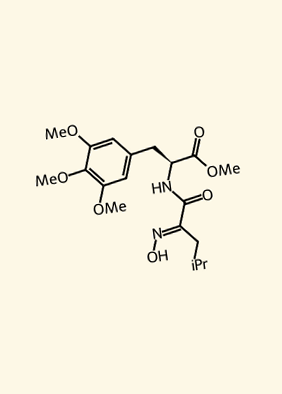 COC(=O)[C@H](Cc1cc(OC)c(OC)c(OC)c1)NC(=O)C(CC(C)C)=NO